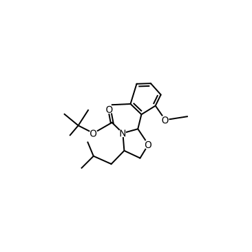 COc1cccc(C)c1C1OCC(CC(C)C)N1C(=O)OC(C)(C)C